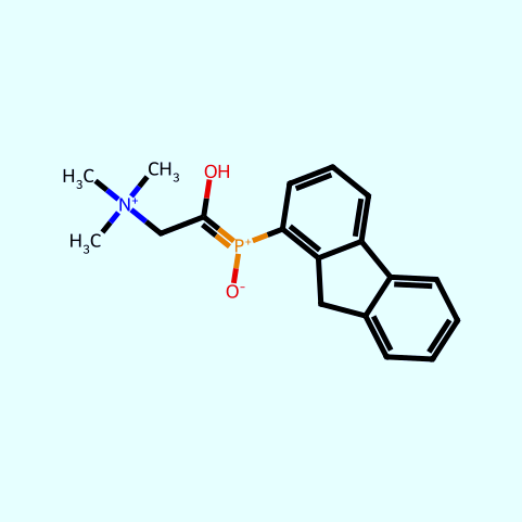 C[N+](C)(C)C/C(O)=[P+](\[O-])c1cccc2c1Cc1ccccc1-2